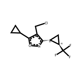 FC(F)(F)[C@@H]1C[C@H]1c1noc(C2CC2)c1CCl